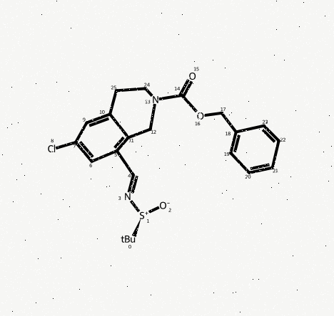 CC(C)(C)[S@+]([O-])N=Cc1cc(Cl)cc2c1CN(C(=O)OCc1ccccc1)CC2